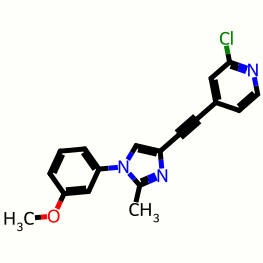 COc1cccc(-n2cc(C#Cc3ccnc(Cl)c3)nc2C)c1